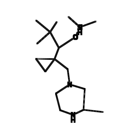 CC1CN(CC2(C(O[SiH](C)C)C(C)(C)C)CC2)CCN1